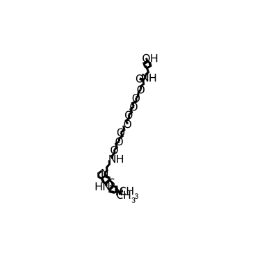 CN(C)c1ccc2c(c1)Sc1cc3c(cc1N2)CCCN3CCCCNCCOCCOCCOCCOCCOCCOCCOCCOCCC(=O)NCCc1ccc(O)cc1